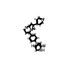 c1cc(-c2cc3nccc(-c4ccc(N5C[C@@H]6C[C@H]5CN6)cc4)n3n2)ccn1